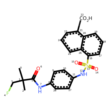 CC(C)(CF)C(=O)Nc1ccc(NS(=O)(=O)c2cccc3c(C(=O)O)cccc23)cc1